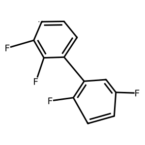 Fc1ccc(F)c(-c2cc[c]c(F)c2F)c1